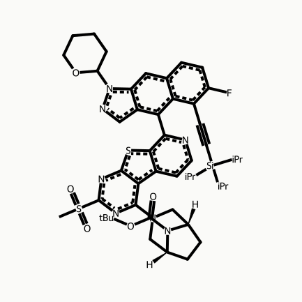 CC(C)[Si](C#Cc1c(F)ccc2cc3c(cnn3C3CCCCO3)c(-c3nccc4c3sc3nc(S(C)(=O)=O)nc(N5C[C@H]6CC[C@@H](C5)N6C(=O)OC(C)(C)C)c34)c12)(C(C)C)C(C)C